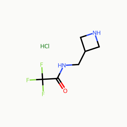 Cl.O=C(NCC1CNC1)C(F)(F)F